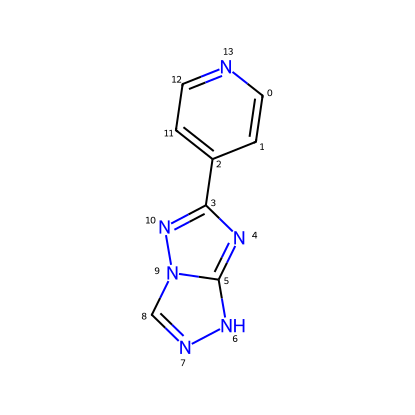 c1cc(-c2nc3[nH]ncn3n2)ccn1